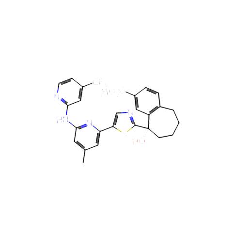 Cc1cc(Nc2cc(C(F)(F)F)ccn2)nc(-c2cnc([C@]3(O)CCCCc4ccc(C(=O)O)cc43)s2)c1